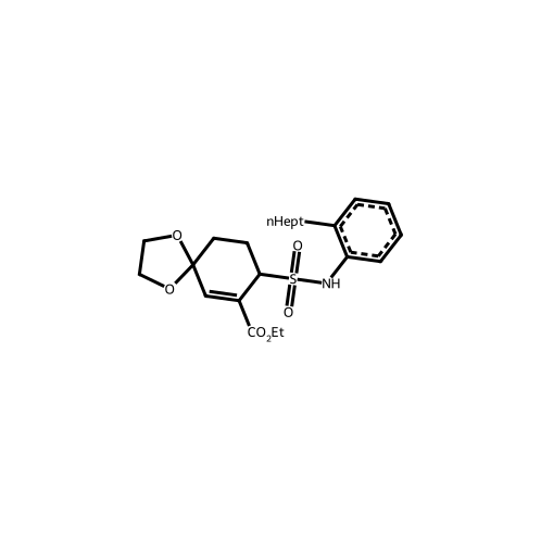 CCCCCCCc1ccccc1NS(=O)(=O)C1CCC2(C=C1C(=O)OCC)OCCO2